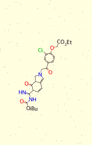 CCOC(=O)COc1ccc(C(=O)CN2C=C3C=CC(C(=N)NC(=O)OCC(C)C)C(=O)C3C2)cc1Cl